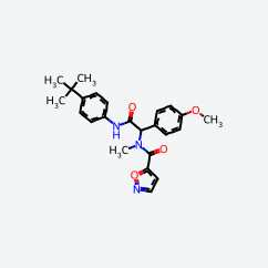 COc1ccc(C(C(=O)Nc2ccc(C(C)(C)C)cc2)N(C)C(=O)c2ccno2)cc1